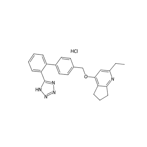 CCc1cc(OCc2ccc(-c3ccccc3-c3nnn[nH]3)cc2)c2c(n1)CCC2.Cl